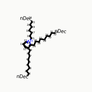 CCCCCCCCCCCCCCCCCCCc1ccc[n+](CCCCCCCCCCCCCCCCC)c1CCCCCCCCCCCCCCCCCCC